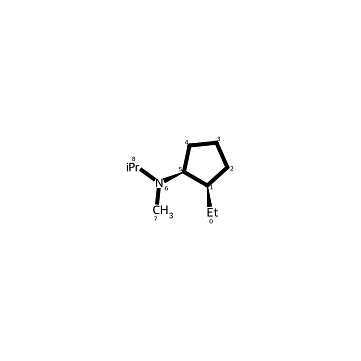 CC[C@@H]1CCC[C@@H]1N(C)C(C)C